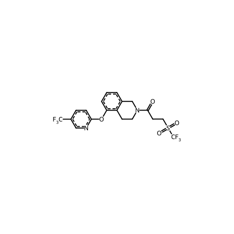 O=C(CCS(=O)(=O)C(F)(F)F)N1CCc2c(cccc2Oc2ccc(C(F)(F)F)cn2)C1